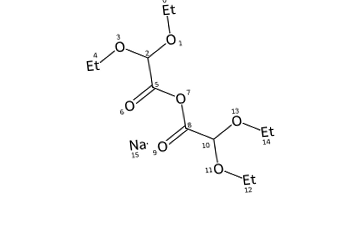 CCOC(OCC)C(=O)OC(=O)C(OCC)OCC.[Na]